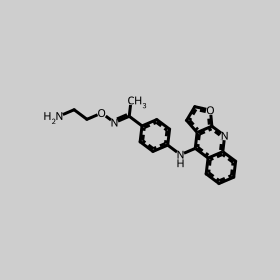 CC(=NOCCN)c1ccc(Nc2c3ccccc3nc3occc23)cc1